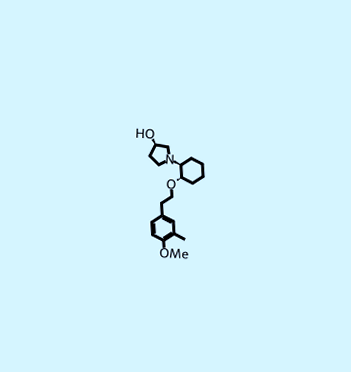 COc1ccc(CCO[C@H]2CCCC[C@@H]2N2CC[C@@H](O)C2)cc1C